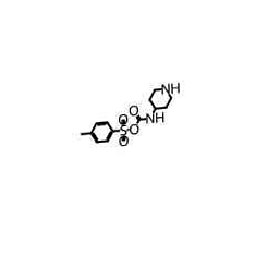 Cc1ccc(S(=O)(=O)OC(=O)NC2CCNCC2)cc1